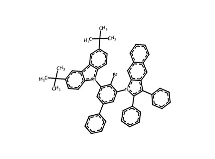 CC(C)(C)c1ccc2c(c1)c1cc(C(C)(C)C)ccc1n2-c1cc(-c2ccccc2)cc(-n2c(-c3ccccc3)c(-c3ccccc3)c3cc4ccccc4cc32)c1Br